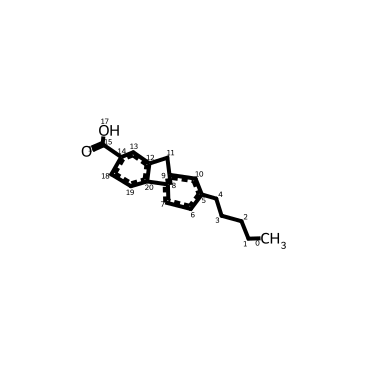 CCCCCc1ccc2c(c1)Cc1cc(C(=O)O)ccc1-2